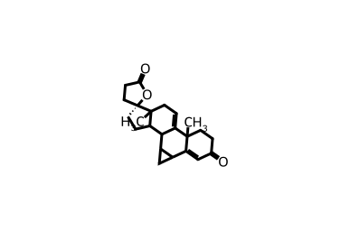 CC12CCC(=O)C=C1C1CC1C1C2=CCC2(C)C1CC[C@@]21CCC(=O)O1